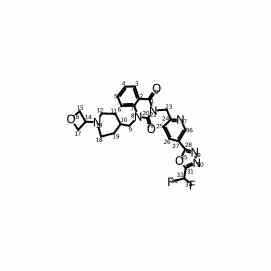 O=c1c2ccccc2n(CC2CCN(C3COC3)CC2)c(=O)n1Cc1ccc(-c2nnc(C(F)F)o2)cn1